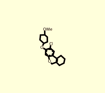 COC1CCC(Oc2cc3c(cc2Cl)C2=C(CCCC2)CO3)CC1